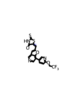 O=C1NC(=S)S/C1=C/c1cc2cncc(-c3ccc(OCC(F)(F)F)nc3)c2o1